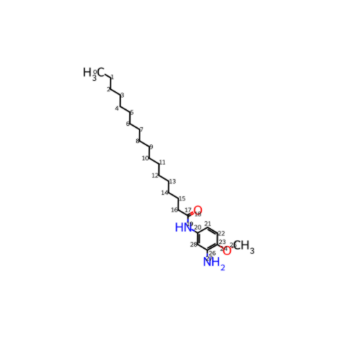 CCCCCCCCCCCCCCCCCC(=O)Nc1ccc(OC)c(N)c1